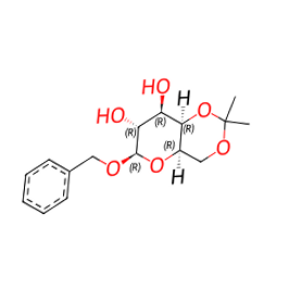 CC1(C)OC[C@H]2O[C@@H](OCc3ccccc3)[C@H](O)[C@@H](O)[C@H]2O1